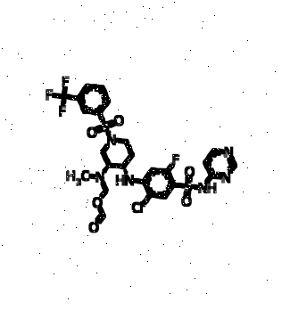 CN(COC=O)[C@H]1CN(S(=O)(=O)c2cccc(C(F)(F)F)c2)CC[C@@H]1Nc1cc(F)c(S(=O)(=O)Nc2ccncn2)cc1Cl